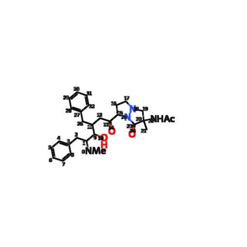 CNC(Cc1ccccc1)C(O)C(CC(=O)C1CCN2CC(C)(NC(C)=O)C(=O)N12)Cc1ccccc1